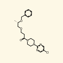 C[C@@H](COCCC(=O)N1CCN(c2ncc(Cl)cn2)CC1)OCc1ccccc1